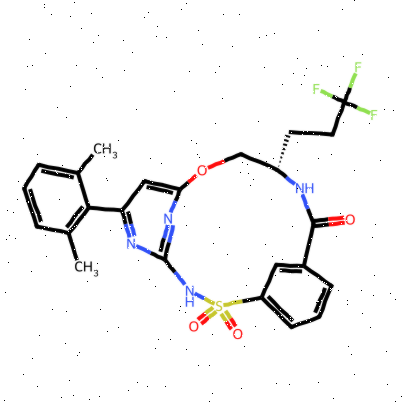 Cc1cccc(C)c1-c1cc2nc(n1)NS(=O)(=O)c1cccc(c1)C(=O)N[C@@H](CCC(F)(F)F)CO2